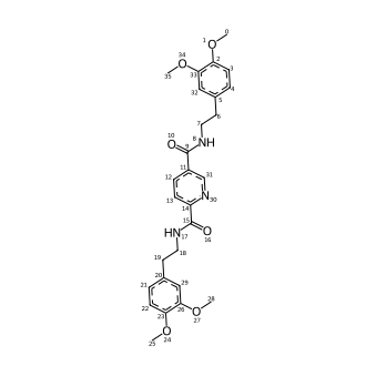 COc1ccc(CCNC(=O)c2ccc(C(=O)NCCc3ccc(OC)c(OC)c3)nc2)cc1OC